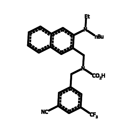 CCCCN(CC)c1cc2ccccc2cc1CN(Cc1cc(C#N)cc(C(F)(F)F)c1)C(=O)O